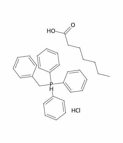 CCCCCCC(=O)O.Cl.c1ccc(C[PH](c2ccccc2)(c2ccccc2)c2ccccc2)cc1